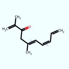 C=C/C=C\C=C(/C)CC(=O)C(=C)C